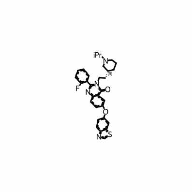 CC(C)N1CCC[C@H](CCn2c(-c3ccccc3F)nc3ccc(Oc4ccc5ncsc5c4)cc3c2=O)C1